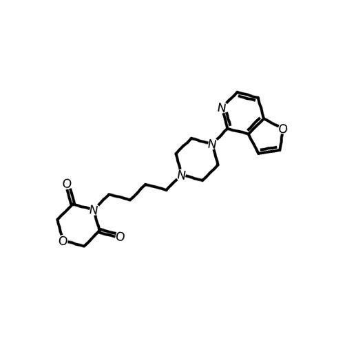 O=C1COCC(=O)N1CCCCN1CCN(c2nccc3occc23)CC1